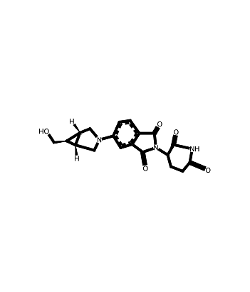 O=C1CCC(N2C(=O)c3ccc(N4C[C@@H]5[C@@H](CO)[C@@H]5C4)cc3C2=O)C(=O)N1